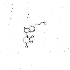 O=CCCc1ccn2c(N3CCC(=O)NC3=O)cnc2c1